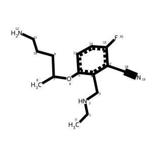 CCNCc1c(OC(C)CCCN)ccc(F)c1C#N